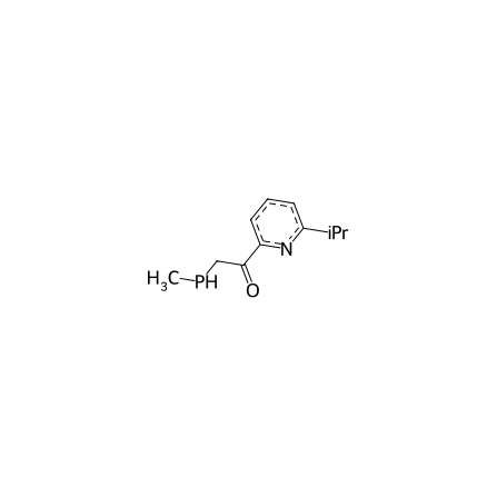 CPCC(=O)c1cccc(C(C)C)n1